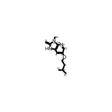 C=C1Nc2cc(OCCC(C)C)cnc2N1C